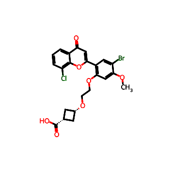 COc1cc(OCCO[C@H]2C[C@@H](C(=O)O)C2)c(-c2cc(=O)c3cccc(Cl)c3o2)cc1Br